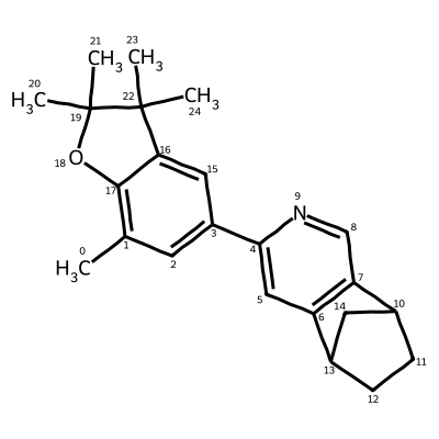 Cc1cc(-c2cc3c(cn2)C2CCC3C2)cc2c1OC(C)(C)C2(C)C